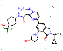 CC(C1CC1)N1Cc2cc(-c3ccn4nc(N)c(C(=O)N[C@H]5CC[C@](O)(C(F)(F)F)CC5)c4n3)cc(N3CC[C@@H](O)C3)c2C1=O